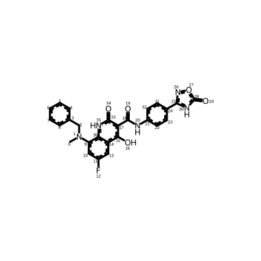 CN(Cc1ccccc1)c1cc(F)cc2c(O)c(C(=O)Nc3ccc(-c4noc(=O)[nH]4)cc3)c(=O)[nH]c12